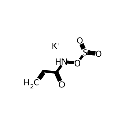 C=CC(=O)NO[S-](=O)=O.[K+]